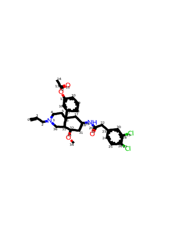 C=CCN1CCC2(c3cccc(OC(C)=O)c3)CC(NC(=O)Cc3ccc(Cl)c(Cl)c3)CC(OC)C2C1